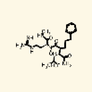 CNC(=O)[C@H](CCNC(=N)N)N(O)C(=O)C(CCCc1ccccc1)[C@@H](CC(C)C)C(N)=O